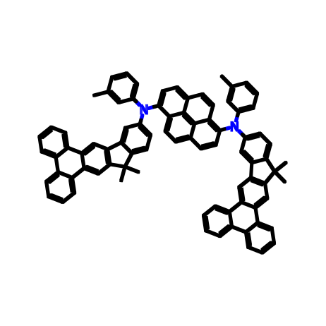 Cc1cccc(N(c2ccc3c(c2)-c2cc4c5ccccc5c5ccccc5c4cc2C3(C)C)c2ccc3ccc4c(N(c5cccc(C)c5)c5ccc6c(c5)-c5cc7c8ccccc8c8ccccc8c7cc5C6(C)C)ccc5ccc2c3c54)c1